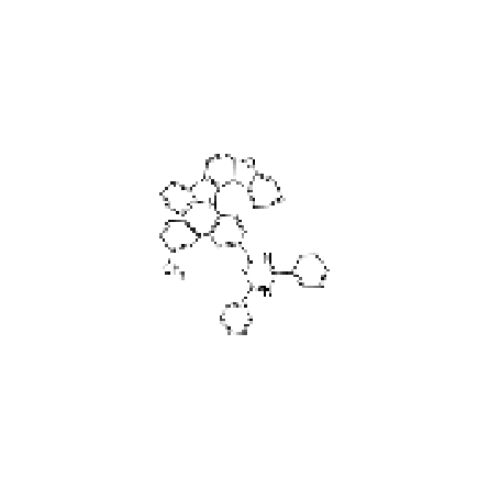 FC(F)(F)c1cccc(-c2cc(-c3nc(-c4ccccc4)nc(-c4ccccc4)n3)ccc2-n2c3ccccc3c3ccc4oc5ccccc5c4c32)c1